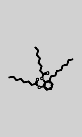 CCCCCCCCc1cccc(OC(=O)CCCCCCC)c1OC(=O)CCCCCCC